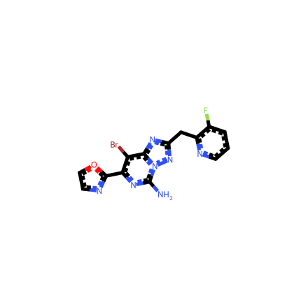 Nc1nc(-c2ncco2)c(Br)c2nc(Cc3ncccc3F)nn12